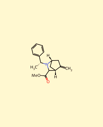 C=C1C[C@@H]2C[C@H]1C(C(=O)OC)N2[C@H](C)c1ccccc1